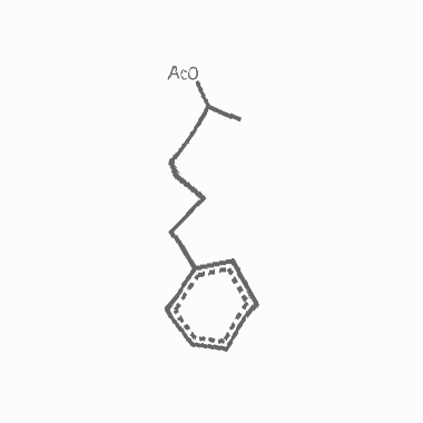 CC(=O)OC(C)CCCc1ccccc1